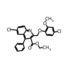 CCOC(=O)c1c(COc2ccc(Cl)cc2OC)nc2ccc(Cl)cc2c1-c1ccccc1